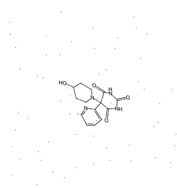 O=C1NC(=O)C(c2ccccn2)(N2CCC(O)CC2)C(=O)N1